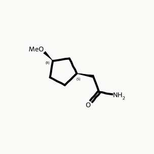 CO[C@@H]1CC[C@H](CC(N)=O)C1